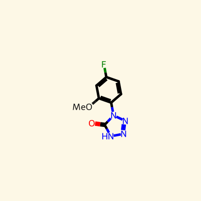 COc1cc(F)ccc1-n1nn[nH]c1=O